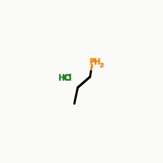 CCCP.Cl